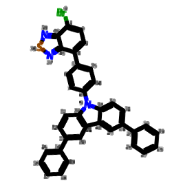 Brc1ccc(-c2ccc(-n3c4ccc(-c5ccccc5)cc4c4cc(-c5ccccc5)ccc43)cc2)c2nsnc12